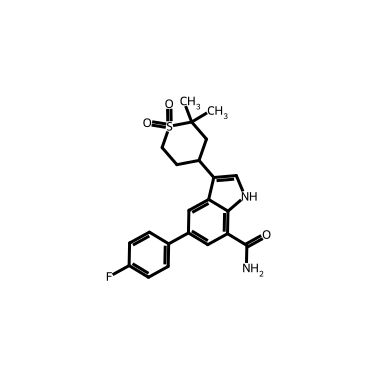 CC1(C)CC(c2c[nH]c3c(C(N)=O)cc(-c4ccc(F)cc4)cc23)CCS1(=O)=O